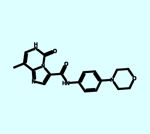 Cc1c[nH]c(=O)n2c(C(=O)Nc3ccc(N4CCOCC4)cc3)cnc12